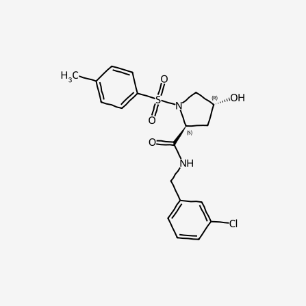 Cc1ccc(S(=O)(=O)N2C[C@H](O)C[C@H]2C(=O)NCc2cccc(Cl)c2)cc1